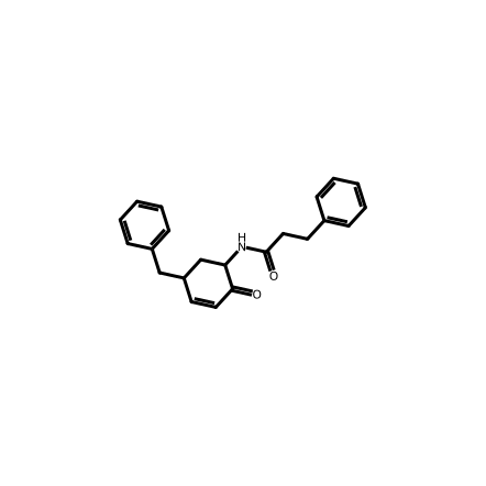 O=C(CCc1ccccc1)NC1CC(Cc2ccccc2)C=CC1=O